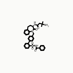 CC(C)(N)CC(=O)N[C@@H]1CCc2ccccc2N(Cc2ccc(-c3ccccc3S(=O)(=O)NC(=O)c3ccccc3)cc2)C1=O